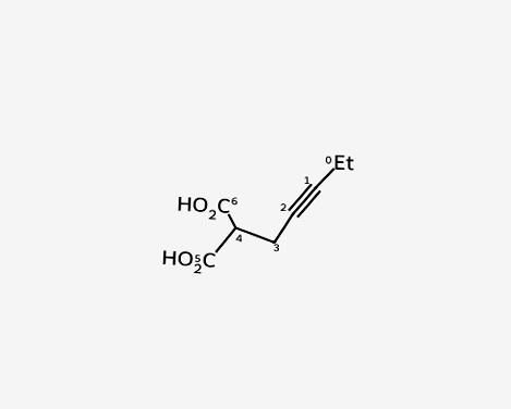 CCC#CCC(C(=O)O)C(=O)O